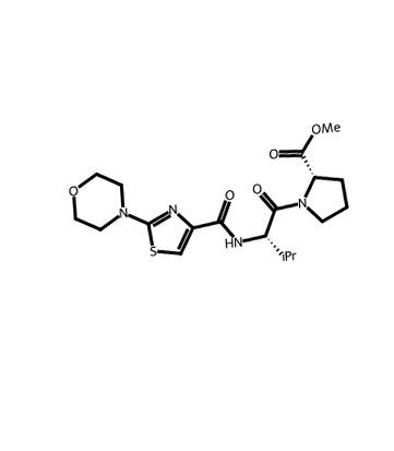 COC(=O)[C@@H]1CCCN1C(=O)[C@@H](NC(=O)c1csc(N2CCOCC2)n1)C(C)C